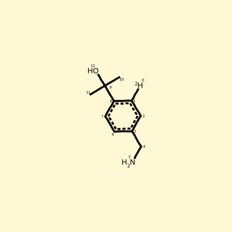 [2H]c1cc(CN)ccc1C(C)(C)O